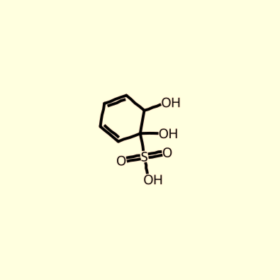 O=S(=O)(O)C1(O)C=CC=CC1O